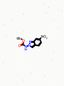 CC(C)(C)OC(=O)Nn1cc2ccc([N+](=O)[O-])cc2n1